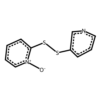 [O-][n+]1ccccc1SSc1cccnc1